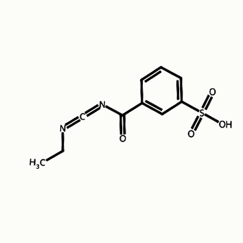 CCN=C=NC(=O)c1cccc(S(=O)(=O)O)c1